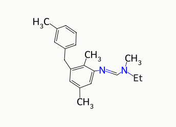 CCN(C)C=Nc1cc(C)cc(Cc2cccc(C)c2)c1C